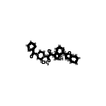 C[C@@H]1CN(C(=O)c2ccccn2)CCN1C(=O)C(=O)c1c[nH]c2c(-c3cc4ccccc4o3)nccc12